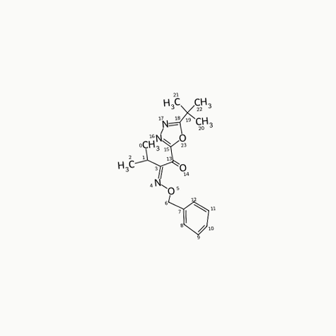 CC(C)C(=NOCc1ccccc1)C(=O)c1nnc(C(C)(C)C)o1